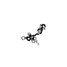 Cn1c(=O)n(CCCCN2CCN(c3ncccn3)CC2)c(=O)c2cc(Cl)ccc21